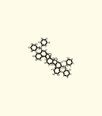 c1ccc(N(c2ccccc2)c2cc3oc4c(ccc5c4oc4cc(N(c6ccccc6)c6ccccc6)c6ccccc6c45)c3c3ccccc23)cc1